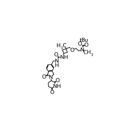 CN(CCOCC1(C)CC(NC(=O)NCc2ccc3c(c2)CN(C2CCC(=O)NC2=O)C3=O)C1)C(=O)OC(C)(C)C